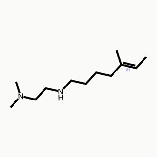 C/C=C(\C)CCCCNCCN(C)C